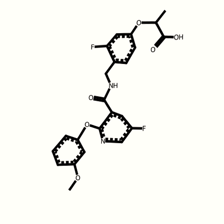 COc1cccc(Oc2ncc(F)cc2C(=O)NCc2ccc(OC(C)C(=O)O)cc2F)c1